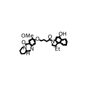 CC[C@@H]1CN(C(=O)CCCOc2cc3c(cc2OC)C(=O)N2CCCC[C@H]2C=N3)c2cc(O)c3ccccc3c21